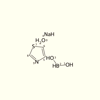 O.OBO.[NaH].c1cscn1